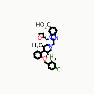 CC1CN(Cc2nc3ccc(C(=O)O)cc3n2C[C@@H]2CCO2)CC(C)C1c1ccccc1OCc1ccc(Cl)cc1F